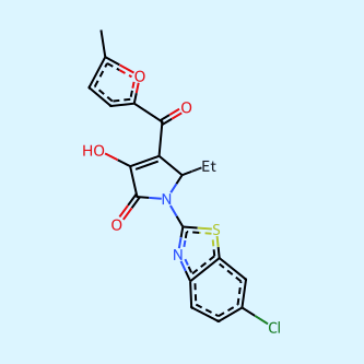 CCC1C(C(=O)c2ccc(C)o2)=C(O)C(=O)N1c1nc2ccc(Cl)cc2s1